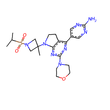 CC(C)S(=O)(=O)N1CC(C)(N2CCc3c(-c4cnc(N)nc4)nc(N4CCOCC4)nc32)C1